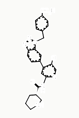 O=C(O)c1ccc(Cn2nnc3ccc(-c4cc(NC(=O)[C@@H]5CCCNC5)ncc4Cl)cc32)cc1